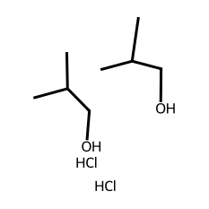 CC(C)CO.CC(C)CO.Cl.Cl